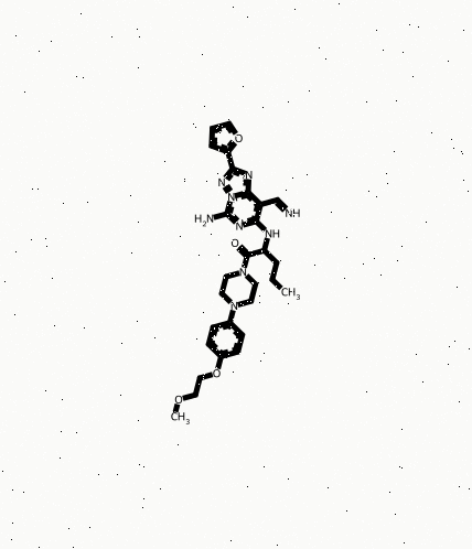 CCCC(Nc1nc(N)n2nc(-c3ccco3)nc2c1C=N)C(=O)N1CCN(c2ccc(OCCOC)cc2)CC1